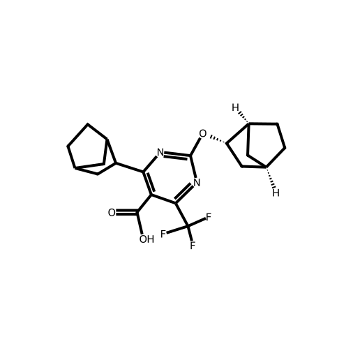 O=C(O)c1c(C2CC3CCC2C3)nc(O[C@H]2C[C@@H]3CC[C@H]2C3)nc1C(F)(F)F